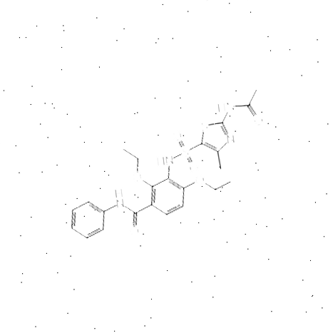 CCOc1ccc(C(=O)Nc2ccccc2)c(OCC)c1NS(=O)(=O)c1sc(NC(C)=O)nc1C